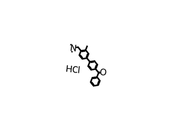 Cc1cc(-c2ccc(C(=O)c3ccccc3)cc2)ccc1CN(C)C.Cl